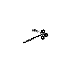 Br.CCCCCCCCCCCCCCCC[PH](c1ccccc1)(c1ccccc1)c1ccccc1.P